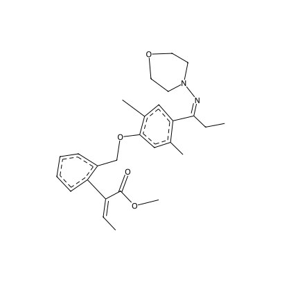 CC=C(C(=O)OC)c1ccccc1COc1cc(C)c(/C(CC)=N\N2CCOCC2)cc1C